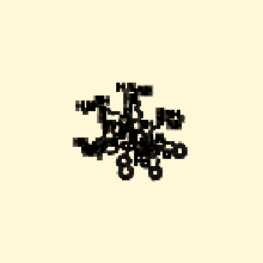 N=C(N)NCCC[C@H](NC(=O)[C@H](Cc1ccc2ccccc2c1)NSC(=O)[C@@H](Cc1ccccc1)NC(=O)[C@@H](N)Cc1ccccc1)C(=O)N[C@H](CCCNC(=N)N)C(=O)N[C@@H](CCCNC(=N)N)C(=O)N[C@H](CCCNC(=N)N)C(=O)N[C@@H](CCC(=O)O)C(=O)O